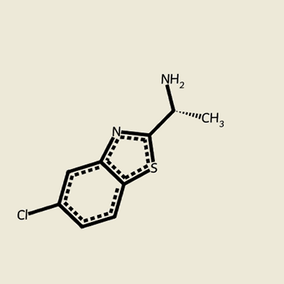 C[C@@H](N)c1nc2cc(Cl)ccc2s1